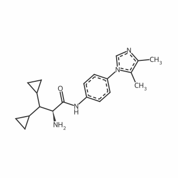 Cc1ncn(-c2ccc(NC(=O)[C@@H](N)C(C3CC3)C3CC3)cc2)c1C